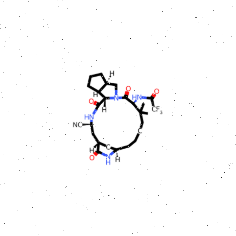 CC1(C)CCCC[C@@H]2C[C@@H](C[C@@H](C#N)NC(=O)[C@@H]3[C@H]4CCC[C@H]4CN3C(=O)[C@H]1NC(=O)C(F)(F)F)C(=O)N2